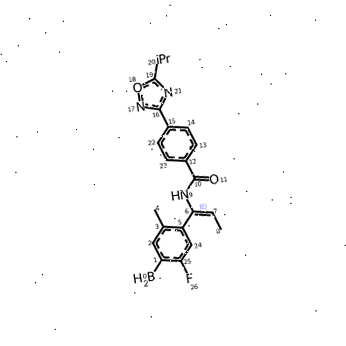 Bc1cc(C)c(/C(=C\C)NC(=O)c2ccc(-c3noc(C(C)C)n3)cc2)cc1F